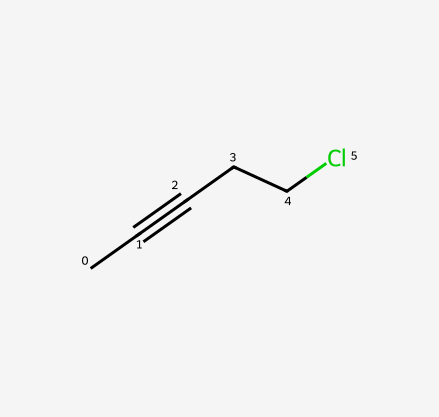 CC#CCCCl